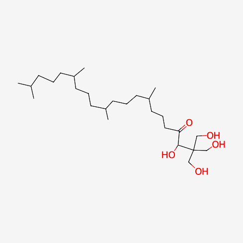 CC(C)CCCC(C)CCCC(C)CCCC(C)CCCC(=O)C(O)C(CO)(CO)CO